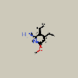 CCc1cc(OC)nc(N)c1CC